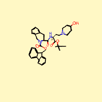 CC(C)(C)OC(=O)[C@H](CCN1CCC(O)CC1)NC(=O)C1Cc2ccccc2CN1C(=O)OCC1c2ccccc2-c2ccccc21